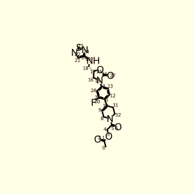 CC(=O)OCC(=O)N1CC=C(c2ccc(N3C[C@H](CNc4cnsn4)OC3=O)cc2F)CC1